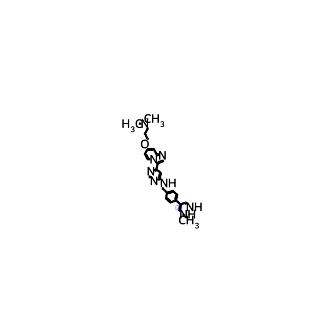 CN/C=C(\C=N)c1ccc(CNc2cc(-c3cnc4cc(OCCCN(C)C)ccn34)ncn2)cc1